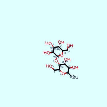 CC(C)(C)C1OC(CO)[C@@H](O[C@@H]2OC(CO)[C@@H](O)[C@H](O)C2O)[C@H](O)C1O